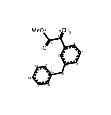 C=C(C(=O)OC)c1cccc(Cc2ccccc2)c1